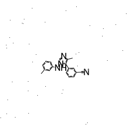 Cc1cccc(Nn2cnc(C)c2-c2cccc(C#N)c2)c1